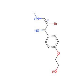 CN/C=C(/Br)C(=N)c1ccc(OCCO)cc1